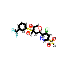 CC1(S(=O)(=O)c2cccc(C(F)F)c2)CCOC(c2ncc(S(C)(=O)=O)cc2Cl)C1